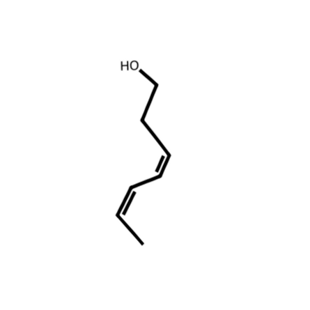 C/C=C\C=C/CCO